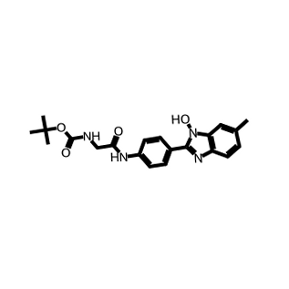 Cc1ccc2nc(-c3ccc(NC(=O)CNC(=O)OC(C)(C)C)cc3)n(O)c2c1